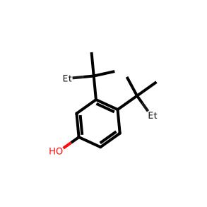 CCC(C)(C)c1ccc(O)cc1C(C)(C)CC